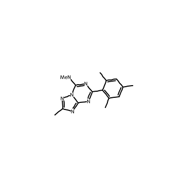 CNc1nc(-c2c(C)cc(C)cc2C)nc2nc(C)nn12